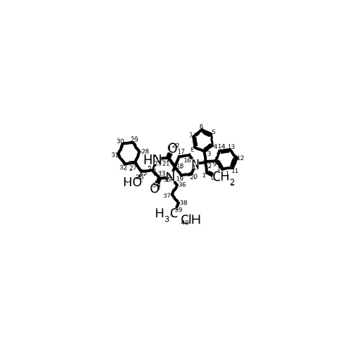 C=CC(c1ccccc1)(c1ccccc1)N1CCC2(CC1)C(=O)N[C@H]([C@H](O)C1CCCCC1)C(=O)N2CCCC.Cl